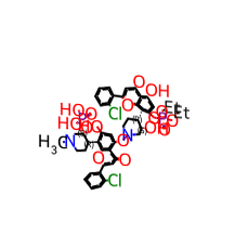 CCOP(=O)(OCC)Oc1cc(O)c2c(=O)cc(-c3ccccc3Cl)oc2c1[C@H]1CCN(Oc2cc(O)c([C@H]3CCN(C)C[C@H]3OP(=O)(O)O)c3oc(-c4ccccc4Cl)cc(=O)c23)C[C@H]1O